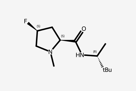 C[C@@H](NC(=O)[C@@H]1C[C@H](F)CN1C)C(C)(C)C